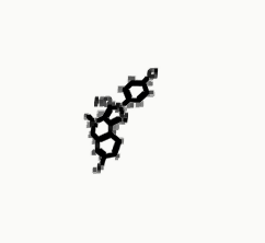 CN1Cc2cc(F)ccc2-c2nn(-c3ccc(Cl)cc3)c(O)c21